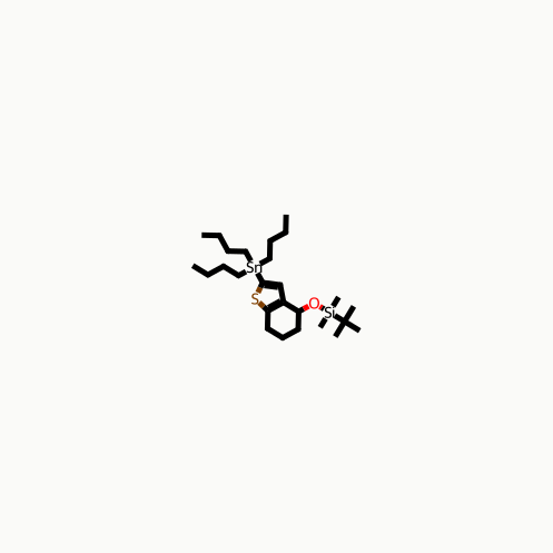 CCC[CH2][Sn]([CH2]CCC)([CH2]CCC)[c]1cc2c(s1)CCCC2O[Si](C)(C)C(C)(C)C